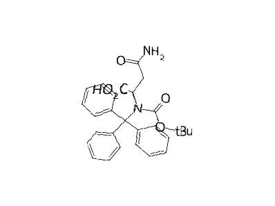 CC(C)(C)OC(=O)N(C(CC(N)=O)C(=O)O)C(c1ccccc1)(c1ccccc1)c1ccccc1